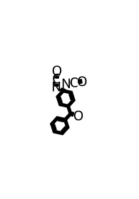 O=C=NC1(N=C=O)C=CC(C(=O)c2ccccc2)C=C1